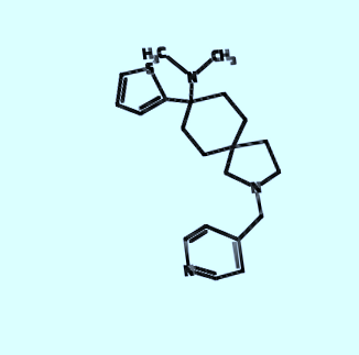 CN(C)C1(c2cccs2)CCC2(CCN(Cc3ccncc3)C2)CC1